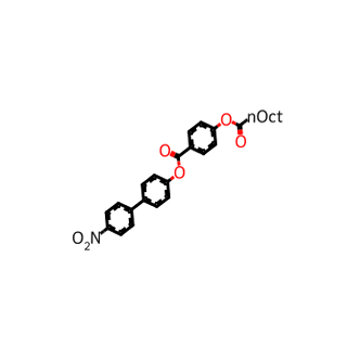 CCCCCCCCC(=O)Oc1ccc(C(=O)Oc2ccc(-c3ccc([N+](=O)[O-])cc3)cc2)cc1